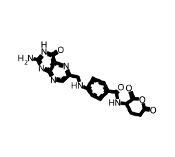 Nc1nc2ncc(CNc3ccc(C(=O)NC4CCC(=O)OC4=O)cc3)nc2c(=O)[nH]1